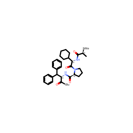 CN[C@@H](C)C(=O)N[C@H](C(=O)N1CCC[C@H]1C(=O)N[C@H](C(=O)C(C)(C)C)C(c1ccccc1)c1ccccc1)C1CCCCC1